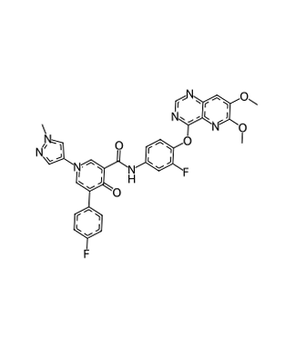 COc1cc2ncnc(Oc3ccc(NC(=O)c4cn(-c5cnn(C)c5)cc(-c5ccc(F)cc5)c4=O)cc3F)c2nc1OC